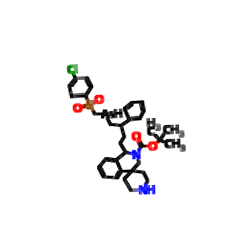 CC(C)(C)OC(=O)N1CC2(CCNCC2)c2ccccc2C1CCC(C[AsH]CS(=O)(=O)c1ccc(Cl)cc1)c1ccccc1